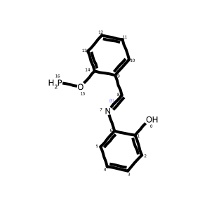 Oc1ccccc1/N=C/c1ccccc1OP